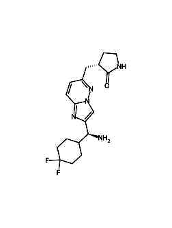 N[C@H](c1cn2nc(C[C@@H]3CCNC3=O)ccc2n1)C1CCC(F)(F)CC1